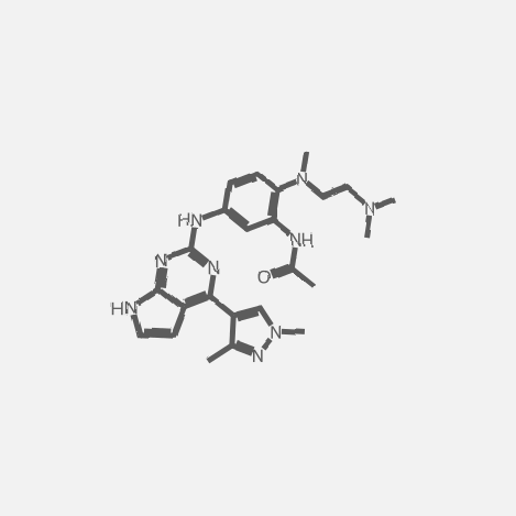 CC(=O)Nc1cc(Nc2nc(-c3cn(C)nc3C)c3cc[nH]c3n2)ccc1N(C)CCN(C)C